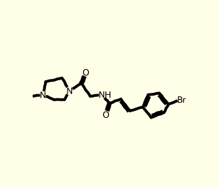 CN1CCN(C(=O)CNC(=O)/C=C/c2ccc(Br)cc2)CC1